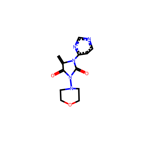 C=C1C(=O)N(N2CCOCC2)C(=O)N1c1ccncn1